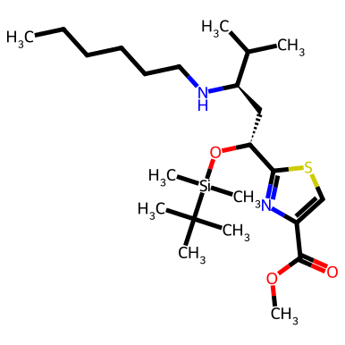 CCCCCCN[C@H](C[C@@H](O[Si](C)(C)C(C)(C)C)c1nc(C(=O)OC)cs1)C(C)C